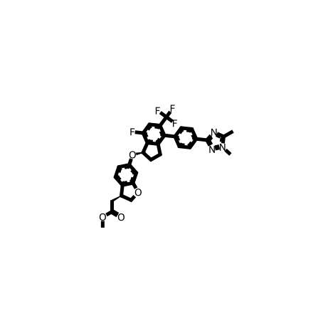 COC(=O)C[C@@H]1COc2cc(O[C@@H]3CCc4c(-c5ccc(-c6nc(C)n(C)n6)cc5)c(C(F)(F)F)cc(F)c43)ccc21